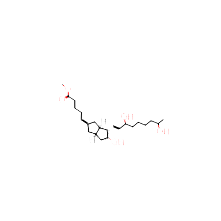 COC(=O)CCCC=C1C[C@H]2C[C@H](O)[C@@H](C=CC(O)CCCCC(C)O)[C@@H]2C1